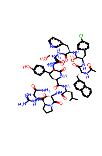 CC(=O)N[C@H](Cc1ccc2ccccc2c1)C(=O)N[C@H](Cc1ccc(Cl)cc1)C(O)N[C@H](Cc1cccnc1)C(=O)N[C@@H](CO)C(=O)N[C@@H](Cc1ccc(O)cc1)C(=O)N[C@H](CCCNC(N)=O)C(=O)N[C@@H](CC(C)C)C(=O)N[C@@H](CCCNC(=N)N)C(=O)N1CCC[C@H]1C(=O)N[C@H](C)C(N)=O